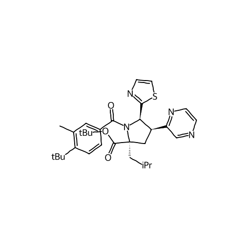 Cc1cc(C(=O)N2[C@@H](c3nccs3)[C@@H](c3cnccn3)C[C@@]2(CC(C)C)C(=O)OC(C)(C)C)ccc1C(C)(C)C